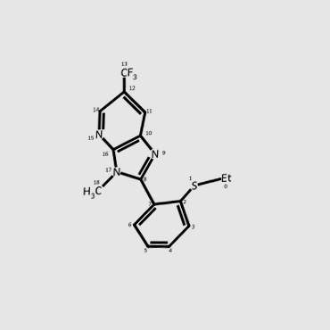 CCSc1ccccc1-c1nc2cc(C(F)(F)F)cnc2n1C